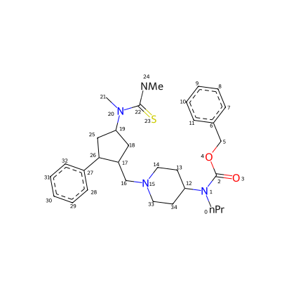 CCCN(C(=O)OCc1ccccc1)C1CCN(CC2CC(N(C)C(=S)NC)CC2c2ccccc2)CC1